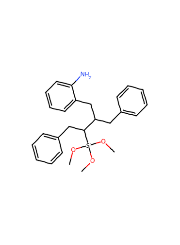 CO[Si](OC)(OC)C(Cc1ccccc1)C(Cc1ccccc1)Cc1ccccc1N